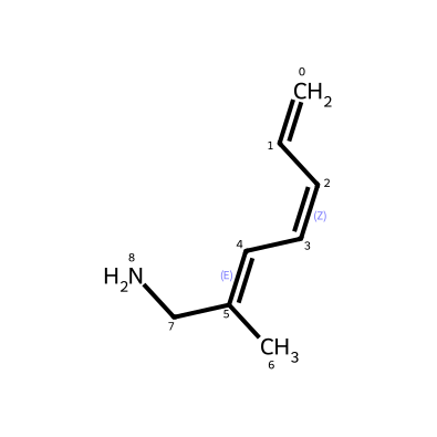 C=C/C=C\C=C(/C)CN